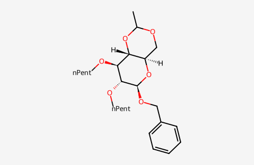 CCCCCO[C@@H]1[C@@H](OCCCCC)[C@H](OCc2ccccc2)O[C@@H]2COC(C)O[C@@H]12